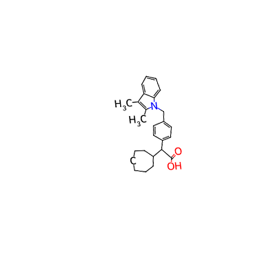 Cc1c(C)n(Cc2ccc(C(C(=O)O)C3CCCCCC3)cc2)c2ccccc12